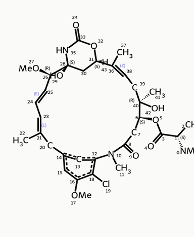 CN[C@@H](C)C(=O)O[C@H]1CC(=O)N(C)c2cc(cc(OC)c2Cl)C/C(C)=C/C=C/[C@@H](OC)[C@@]2(O)C[C@H](OC(=O)N2)/C(C)=C\C[C@@]1(C)O